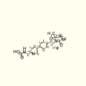 CC1(C)O[C@H](c2ccc(-c3ccc(CNC(=O)O)nc3)cc2)[C@@H](CF)N1C(=O)C(F)F